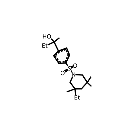 CCC1(C)CN(S(=O)(=O)c2ccc(C(C)(O)CC)cc2)CC(C)(C)C1